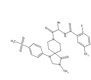 CC(C)C(NC(=O)c1cc(C(F)(F)F)ccc1F)C(=O)N1CCC2(CC1)C(=O)N(C)CN2c1ccc(S(C)(=O)=O)cc1